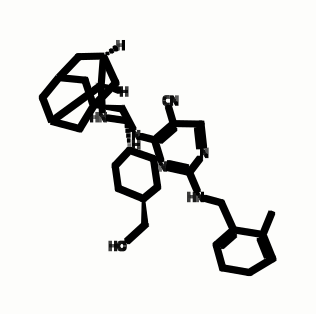 CC1=CCCC=C1CNc1ncc(C#N)c(NC[C@]23CC4CC(C2)[C@@H](NC[C@H]2CC[C@H](CO)CC2)[C@@H](C4)C3)n1